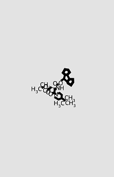 CC(C)(C)OC(=O)C[C@H](NC(=O)OCC1c2ccccc2-c2ccccc21)C(=O)N1CCC(C(C)(C)C)CC1